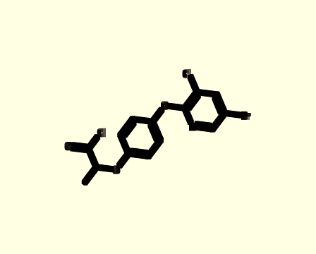 CC(Oc1ccc(Oc2ncc(Br)cc2Cl)cc1)C(=O)Cl